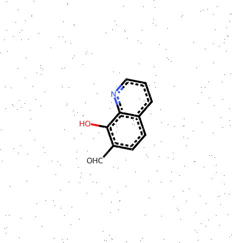 O=Cc1ccc2cccnc2c1O